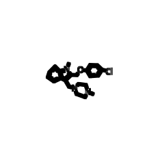 CN1CCN(Cc2c(COc3ccc(Cl)cc3)n(C)c3ccccc23)CC1